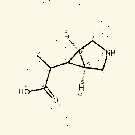 CC(C(=O)O)C1[C@H]2CNC[C@@H]12